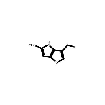 O=Cc1cc2occ(CF)c2[nH]1